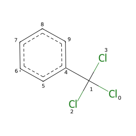 ClC(Cl)(Cl)c1c[c]ccc1